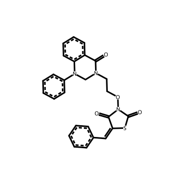 O=C1c2ccccc2N(c2ccccc2)CN1CCON1C(=O)SC(=Cc2ccccc2)C1=O